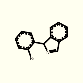 Brc1ccccc1C1N=Cc2ccccc21